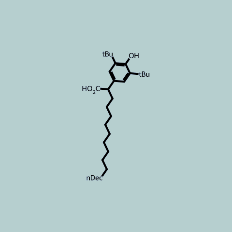 CCCCCCCCCCCCCCCCCCCC(C(=O)O)c1cc(C(C)(C)C)c(O)c(C(C)(C)C)c1